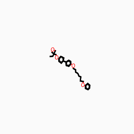 CCC1(COc2ccc(-c3ccc(OCCCCCCCCOc4ccccc4)cc3)cc2)COC1